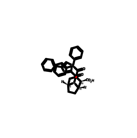 O=C(O)[C@@H]1[C@H]2CC[C@@H](CN1C(=O)N(c1ccccc1)c1ccccc1)N2C(=O)c1nc(-c2ccccc2)co1